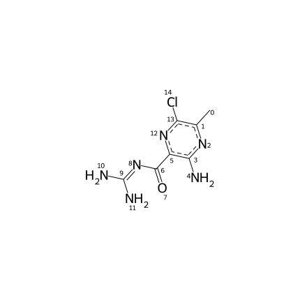 Cc1nc(N)c(C(=O)N=C(N)N)nc1Cl